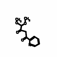 COC(OC)C(=O)CC(=O)c1ccccn1